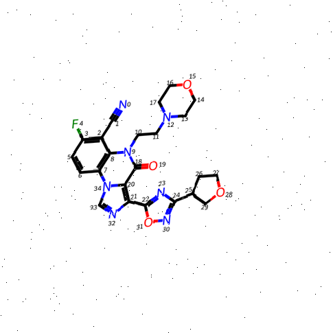 N#Cc1c(F)ccc2c1n(CCN1CCOCC1)c(=O)c1c(-c3nc(C4CCOC4)no3)ncn12